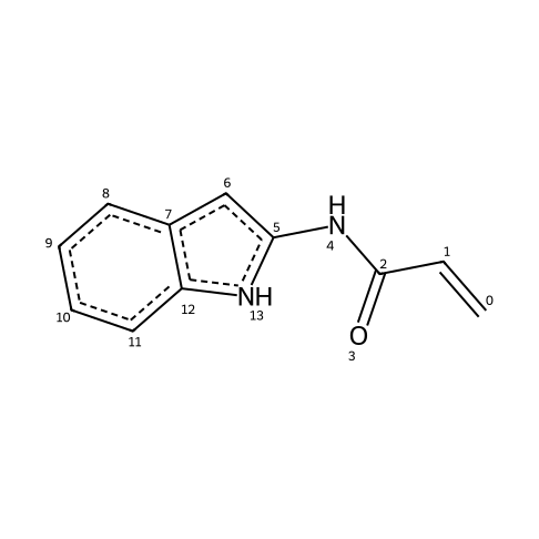 C=CC(=O)Nc1cc2ccccc2[nH]1